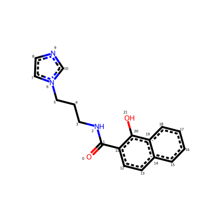 O=C(NCCCn1ccnc1)c1ccc2ccccc2c1O